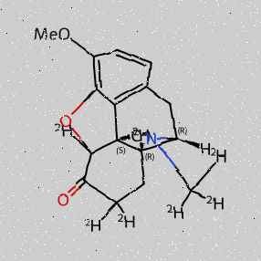 [2H]C1([2H])C[C@@]2([2H])[C@H]3Cc4ccc(OC)c5c4[C@@]2(CCN3C([2H])([2H])[2H])C([2H])(O5)C1=O